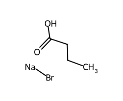 CCCC(=O)O.[Na][Br]